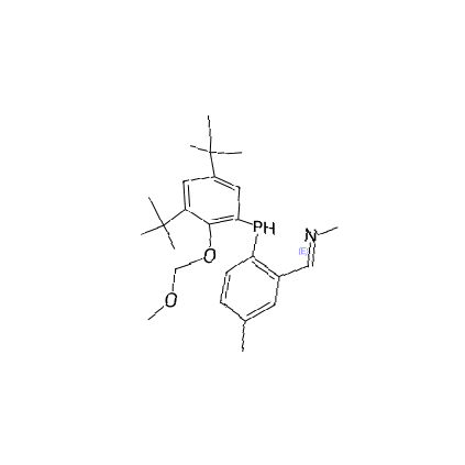 C/N=C/c1cc(C)ccc1Pc1cc(C(C)(C)C)cc(C(C)(C)C)c1OCOC